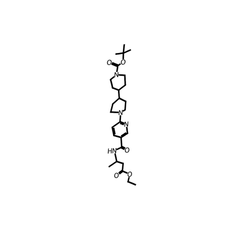 CCOC(=O)CC(C)NC(=O)c1ccc(N2CCC(C3CCN(C(=O)OC(C)(C)C)CC3)CC2)nc1